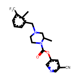 Cc1c(CN2CCN(C(=O)Oc3cncc(C#N)c3)C(C)C2)cccc1C(F)(F)F